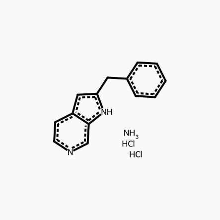 Cl.Cl.N.c1ccc(Cc2cc3ccncc3[nH]2)cc1